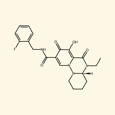 CCN1C(=O)c2c(O)c(=O)c(C(=O)NCc3ccccc3F)cn2N2CCCC[C@@H]12